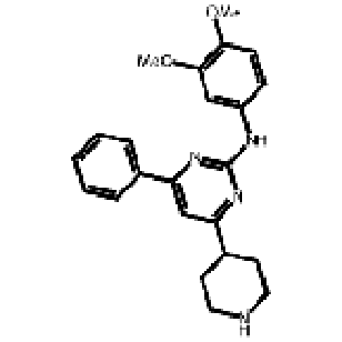 COc1ccc(Nc2nc(-c3ccccc3)cc(C3CCNCC3)n2)cc1OC